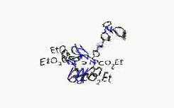 CCOC(=O)C1=Cc2nc1c(-c1ccccc1[N+](=O)[O-])c1[nH]c(cc1C(=O)OCC)c(I)c1nc(c(-c3ccccc3[N+](=O)[O-])c3[nH]c(cc3C(=O)OCC)c2-c2ccc(/C=C/c3ccc(N(c4ccccc4)c4ccccc4)cc3)cc2)C(C(=O)OCC)=C1